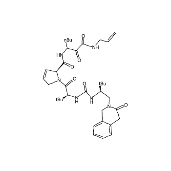 C=CCNC(=O)C(=O)C(CCCC)NC(=O)[C@@H]1C=CCN1C(=O)[C@@H](NC(=O)N[C@H](CN1Cc2ccccc2CC1=O)C(C)(C)C)C(C)(C)C